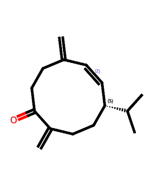 C=C1/C=C\[C@H](C(C)C)CCC(=C)C(=O)CC1